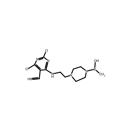 CB(O)N1CCN(CCNc2nc(Cl)nc(Cl)c2C=N)CC1